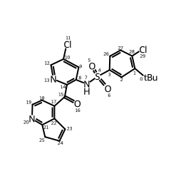 CC(C)(C)c1cc(S(=O)(=O)Nc2cc(Cl)cnc2C(=O)c2ccnc3c2C=CC3)ccc1Cl